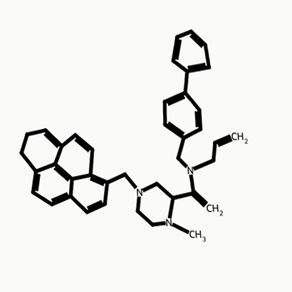 C=CCN(Cc1ccc(-c2ccccc2)cc1)C(=C)C1CN(Cc2ccc3ccc4c5c(ccc2c35)=CCC4)CCN1C